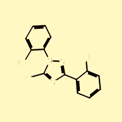 Clc1ccccc1-c1nc(Cl)n(-c2ccccc2Br)n1